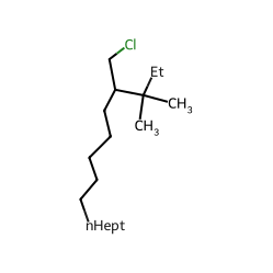 CCCCCCCCCCCCC(CCl)C(C)(C)CC